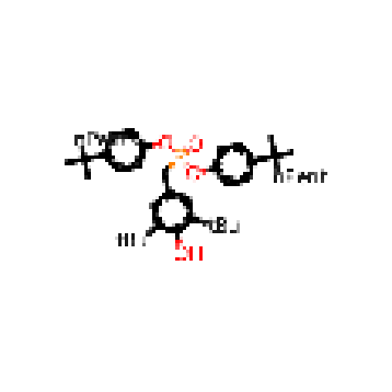 CCCCCC(C)(C)c1ccc(OP(=O)(Cc2cc(C(C)(C)C)c(O)c(C(C)(C)C)c2)Oc2ccc(C(C)(C)CCCCC)cc2)cc1